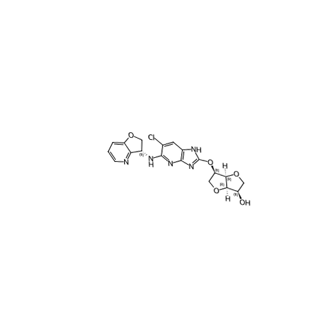 O[C@@H]1CO[C@H]2[C@@H]1OC[C@H]2Oc1nc2nc(N[C@H]3COc4cccnc43)c(Cl)cc2[nH]1